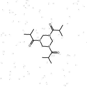 CC(C)C(=O)N1CN(C(=O)C(C)C)CN(C(=O)C(C)C)C1